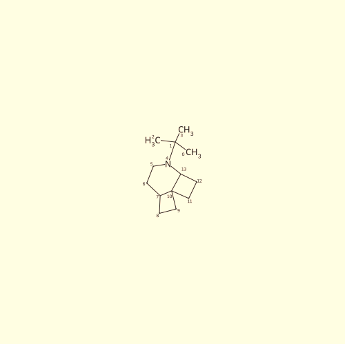 CC(C)(C)N1CCC2CCC23CCC13